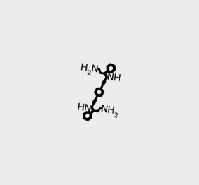 NCCc1c(C#Cc2ccc(C#Cc3[nH]c4ccccc4c3CCN)cc2)[nH]c2ccccc12